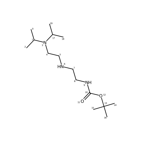 CC(C)N(CCNCCNC(=O)OC(C)(C)C)C(C)C